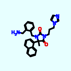 CC1(c2cccc3ccccc23)C(=O)N(CCCn2ccnc2)C(=O)N1Cc1ccccc1CN